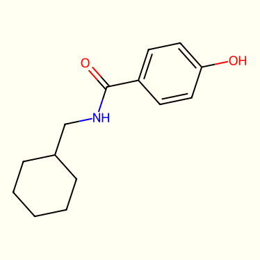 O=C(NCC1CCCCC1)c1ccc(O)cc1